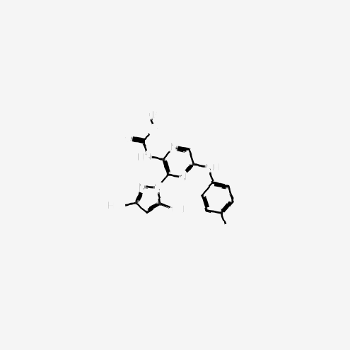 Cc1cc(C)n(-c2nc(Nc3ccc(Cl)cc3)cnc2NC(=O)OC(C)(C)C)n1